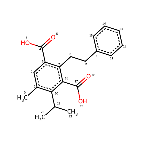 Cc1cc(C(=O)O)c(CCc2ccccc2)c(C(=O)O)c1C(C)C